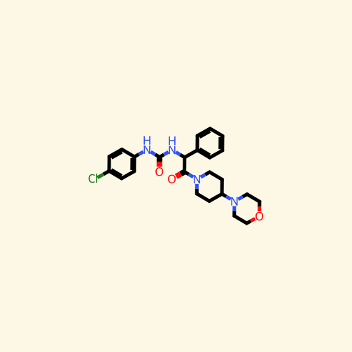 O=C(Nc1ccc(Cl)cc1)NC(C(=O)N1CCC(N2CCOCC2)CC1)c1ccccc1